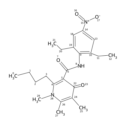 CCCCc1c(C(=O)Nc2c(CC)cc([N+](=O)[O-])cc2CC)c(=O)c(C)c(C)n1C